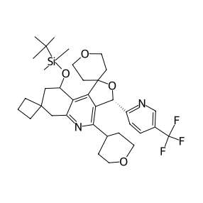 CC(C)(C)[Si](C)(C)OC1CC2(CCC2)Cc2nc(C3CCOCC3)c3c(c21)C1(CCOCC1)O[C@@H]3c1ccc(C(F)(F)F)cn1